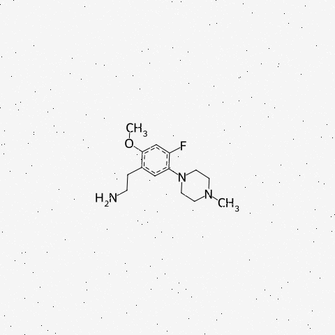 COc1cc(F)c(N2CCN(C)CC2)cc1CCN